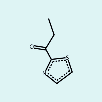 CCC(=O)c1nccs1